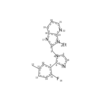 CCn1c(Cn2ccnc2-c2cc(C)ccc2F)nc2cccnc21